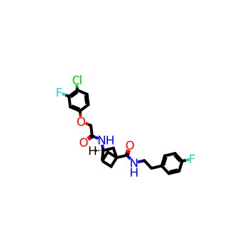 O=C(COc1ccc(Cl)c(F)c1)N[C@H]1CC2(C(=O)NCCc3ccc(F)cc3)CC1C2